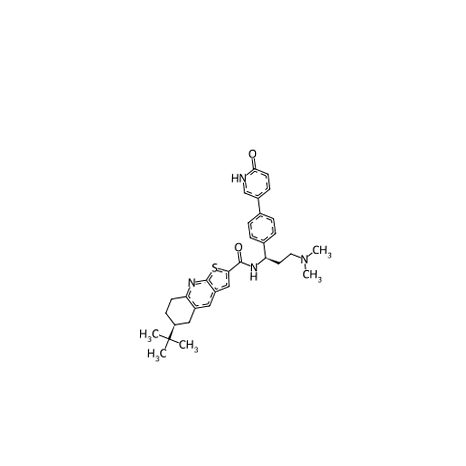 CN(C)CC[C@@H](NC(=O)c1cc2cc3c(nc2s1)CC[C@H](C(C)(C)C)C3)c1ccc(-c2ccc(=O)[nH]c2)cc1